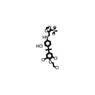 CC(C)(c1ccc(NCc2ocnc2S(C)(=O)=O)cc1)c1cc(Cl)c(OCCCl)c(Cl)c1.Cl